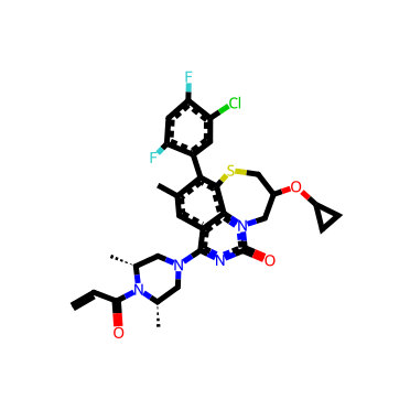 C=CC(=O)N1[C@H](C)CN(c2nc(=O)n3c4c(c(-c5cc(Cl)c(F)cc5F)c(C)cc24)SCC(OC2CC2)C3)C[C@@H]1C